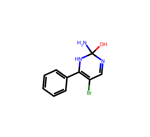 NC1(O)N=CC(Br)=C(c2ccccc2)N1